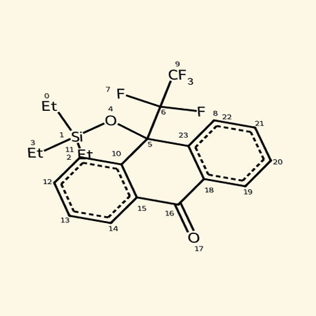 CC[Si](CC)(CC)OC1(C(F)(F)C(F)(F)F)c2ccccc2C(=O)c2ccccc21